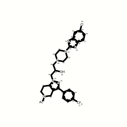 CC(=O)N1CCc2c(c(-c3ccc(C(F)(F)F)cc3)nn2CC(O)CN2CCN(c3nc4ccc(Cl)cc4s3)CC2)C1